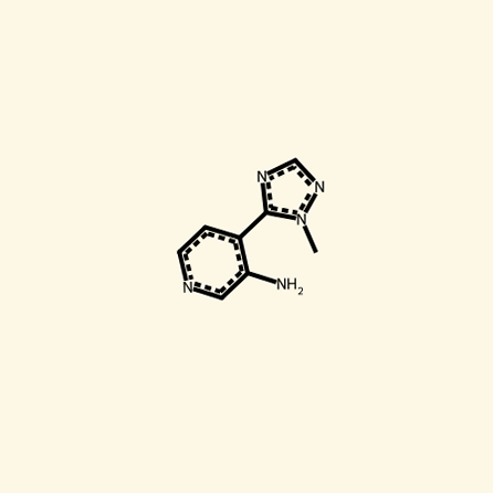 Cn1ncnc1-c1ccncc1N